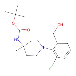 CC1(NC(=O)OC(C)(C)C)CCN(c2c(F)cccc2CO)CC1